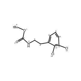 CC(C)(C)OC(=O)NCCc1cccc(Cl)c1Cl